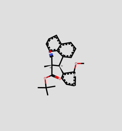 COc1ccccc1[C@H](c1cccc2ccccc12)[C@@](C)(C#N)C(=O)OC(C)(C)C